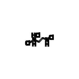 Cl.ClNCCNCl